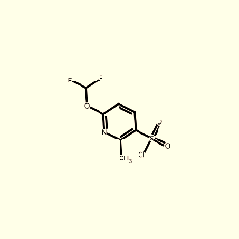 Cc1nc(OC(F)F)ccc1S(=O)(=O)Cl